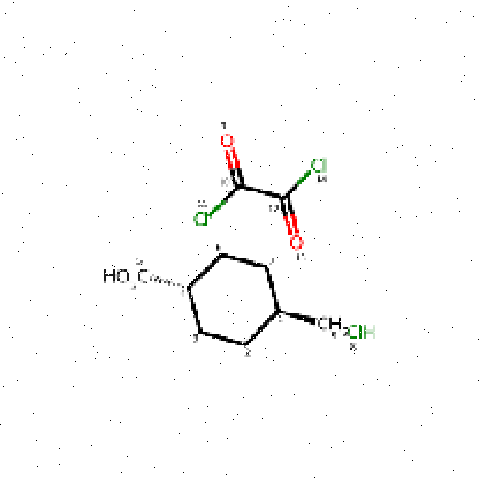 C[C@H]1CC[C@H](C(=O)O)CC1.Cl.O=C(Cl)C(=O)Cl